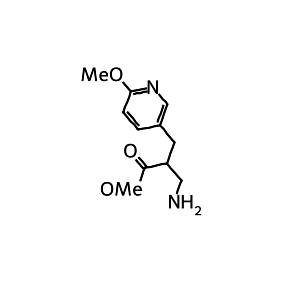 COC(=O)C(CN)Cc1ccc(OC)nc1